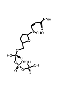 CNC(=O)/C=C\N(C=O)C1CCC(COP(=O)(O)OP(=O)(O)OP(=O)(O)O)O1